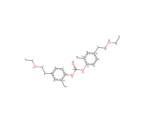 CCOCCc1ccc(OC(=O)Oc2ccc(CCOCC)cc2C)c(C)c1